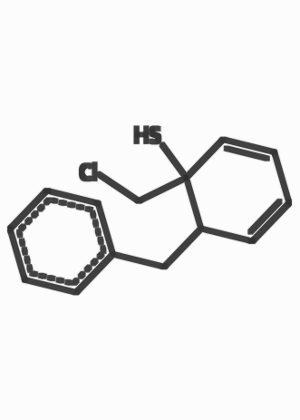 SC1(CCl)C=CC=CC1Cc1ccccc1